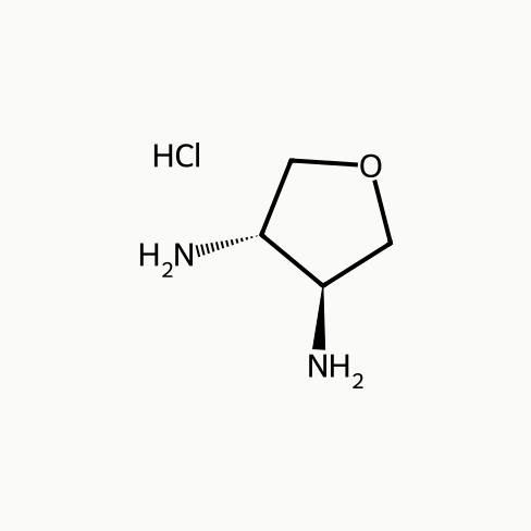 Cl.N[C@@H]1COC[C@H]1N